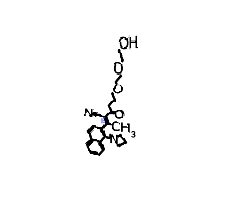 C/C(=C(/C#N)C(=O)CCCOCCOCCO)c1ccc2ccccc2c1N1CCC1